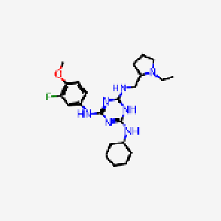 CCN1CCCC1CNC1N=C(Nc2ccc(OC)c(F)c2)N=C(NC2CCCCC2)N1